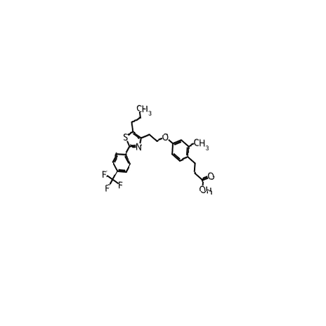 CCCc1sc(-c2ccc(C(F)(F)F)cc2)nc1CCOc1ccc(CCC(=O)O)c(C)c1